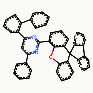 c1ccc(-c2cc(-c3ccccc3-c3ccccc3)nc(-c3cccc4c3Oc3ccccc3C43c4ccccc4-c4ccccc43)n2)cc1